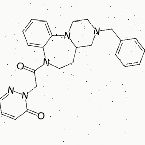 O=C(Cn1ncccc1=O)N1CCC2CN(Cc3ccccc3)CCN2c2ccccc21